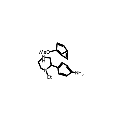 CCN1CCNCC1c1ccc(N)cc1.COc1ccc2cc1-2